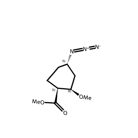 COC(=O)[C@H]1CC[C@H](N=[N+]=[N-])C[C@H]1OC